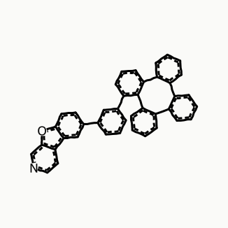 c1cc(-c2ccc3oc4cnccc4c3c2)cc(-c2cccc3c2-c2ccccc2-c2ccccc2-c2ccccc2-3)c1